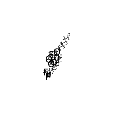 CCCCCCCCOc1ccc2cc(CCC=C(F)F)oc(=O)c2c1F